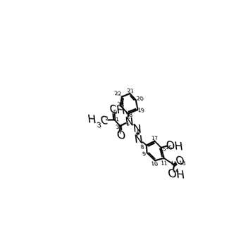 C=C(C)C(=O)N(N=Nc1ccc(C(=O)O)c(O)c1)c1ccccc1